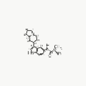 CC(C)N(C)C(=O)Nc1ccc2[nH]cc(C3CCN4CCCC4C3)c2c1